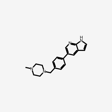 CN1CCN(Cc2ccc(-c3cnc4[nH]ccc4c3)cc2)CC1